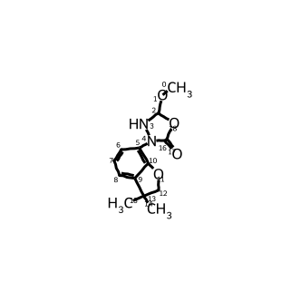 COC1NN(c2cccc3c2OCC3(C)C)C(=O)O1